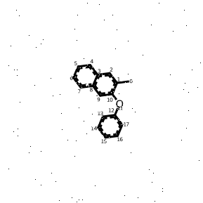 Cc1cc2ccccc2[c]c1Oc1ccccc1